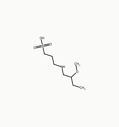 CCC(CNCCCS(=O)(=O)O)OC